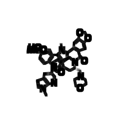 COCCc1c(C(=O)N(c2ccc(O)cc2)c2cnc3c(ccn3C)c2)cc(-c2cc3c(cc2C(=O)N2Cc4ccccc4C[C@H]2CN2CCOCC2)OCO3)n1C